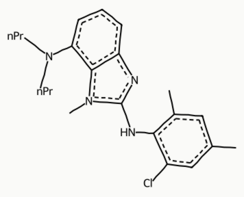 CCCN(CCC)c1cccc2nc(Nc3c(C)cc(C)cc3Cl)n(C)c12